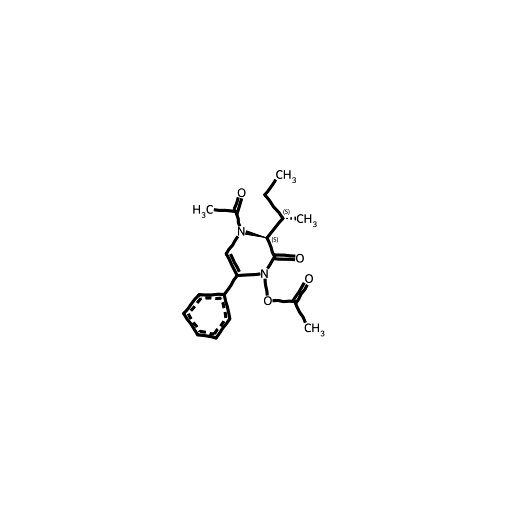 CC[C@H](C)[C@H]1C(=O)N(OC(C)=O)C(c2ccccc2)=CN1C(C)=O